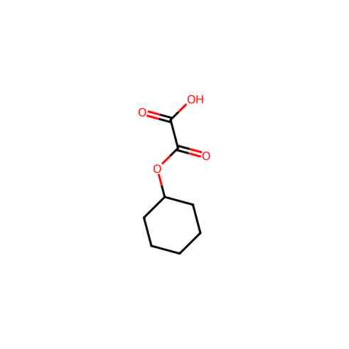 O=C(O)C(=O)OC1CCCCC1